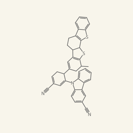 CC1CC(C2CC=C(C#N)C=C2n2c3ccccc3c3cc(C#N)ccc32)=CC2=C1SC1c3sc4ccccc4c3CCC21